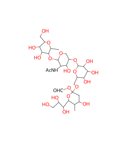 CC(=O)NC1C(OC2C(C)OC(CO)C(O)C2O)OCC(OC2OC(COC3(OC=O)CC(O)C(C)C(C(O)C(O)CO)O3)C(O)C(O)C2O)C1O